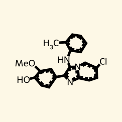 COc1cc(-c2nc3ccc(Cl)cn3c2Nc2ccccc2C)ccc1O